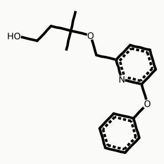 CC(C)(CCO)OCc1cccc(Oc2ccccc2)n1